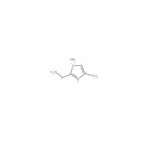 Br.Cc1csc(CN)n1